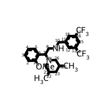 COc1ccccc1C(CNCc1cc(C(F)(F)F)cc(C(F)(F)F)c1)N1CC(C)CC(C)C1